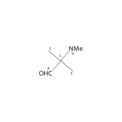 CNC(C)(C)C=O